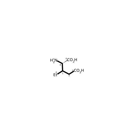 CCC(CC(=O)O)[C@H](N)C(=O)O